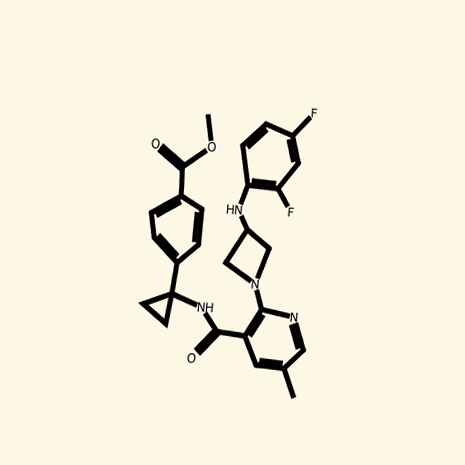 COC(=O)c1ccc(C2(NC(=O)c3cc(C)cnc3N3CC(Nc4ccc(F)cc4F)C3)CC2)cc1